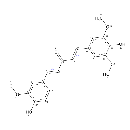 COc1cc(/C=C/C(=O)/C=C/c2cc(CO)c(O)c(OC)c2)ccc1O